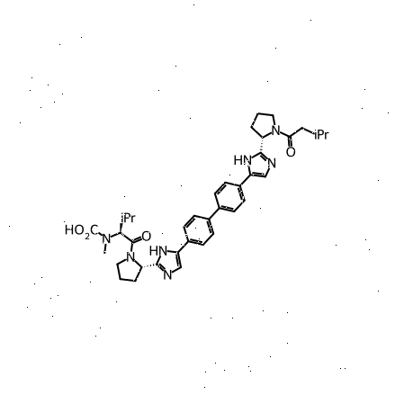 CC(C)CC(=O)N1CCC[C@H]1c1ncc(-c2ccc(-c3ccc(-c4cnc([C@@H]5CCCN5C(=O)[C@H](C(C)C)N(C)C(=O)O)[nH]4)cc3)cc2)[nH]1